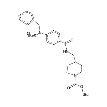 CSN(Cc1ccccc1Cl)c1ccc(C(=O)NCC2CCN(C(=O)OC(C)(C)C)CC2)cc1